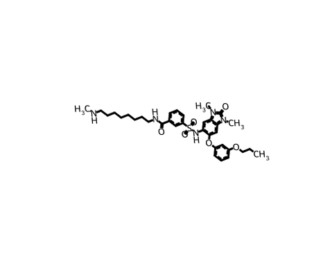 CCCOc1cccc(Oc2cc3c(cc2NS(=O)(=O)c2cccc(C(=O)NCCCCCCCCNC)c2)n(C)c(=O)n3C)c1